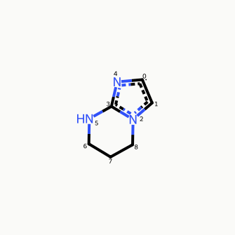 [c]1cn2c(n1)NCCC2